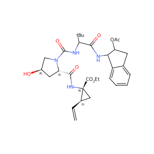 C=C[C@@H]1C[C@]1(NC(=O)[C@@H]1C[C@@H](O)CN1C(=O)NC(C(=O)NC1c2ccccc2CC1OC(C)=O)C(C)(C)C)C(=O)OCC